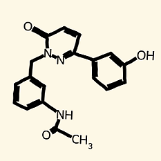 CC(=O)Nc1cccc(Cn2nc(-c3cccc(O)c3)ccc2=O)c1